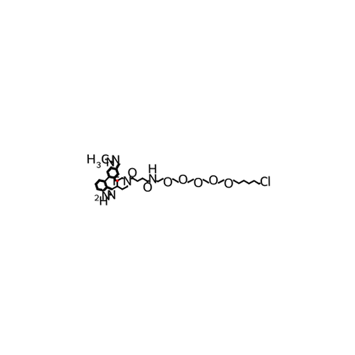 [2H]n1nc(C2CCN(C(=O)CCC(=O)NCCOCCOCCOCCOCCOCCCCCCCl)CC2)c2c(-c3cc4c(cnn4C)cc3F)cccc21